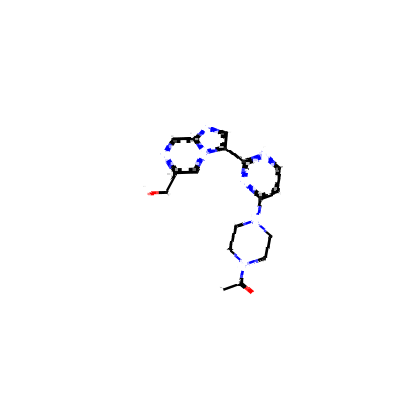 CC(=O)N1CCN(c2ccnc(-c3cnc4cnc(CO)cn34)n2)CC1